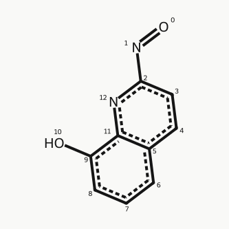 O=Nc1ccc2cccc(O)c2n1